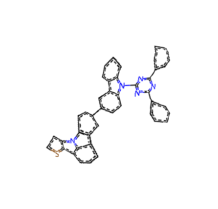 c1ccc(-c2nc(-c3ccccc3)nc(-n3c4ccccc4c4cc(-c5ccc6c(c5)c5cccc7c8sccc8n6c57)ccc43)n2)cc1